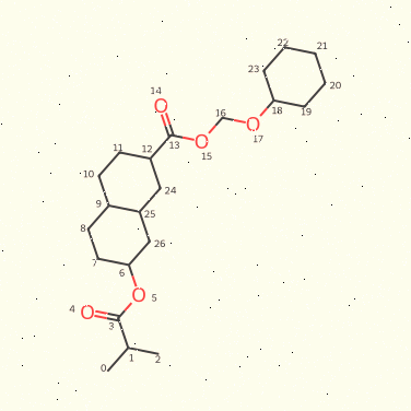 CC(C)C(=O)OC1CCC2CCC(C(=O)OCOC3CCCCC3)CC2C1